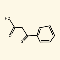 O=C(O)CC(=S)c1ccccc1